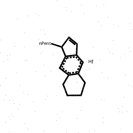 CCCCCC1C=Cc2cc3c(cc21)CCCC3.[Hf]